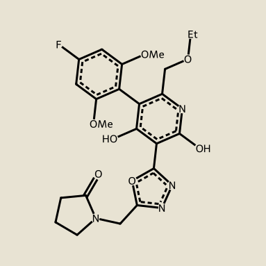 CCOCc1nc(O)c(-c2nnc(CN3CCCC3=O)o2)c(O)c1-c1c(OC)cc(F)cc1OC